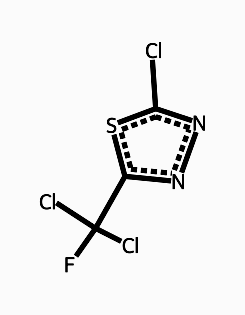 FC(Cl)(Cl)c1nnc(Cl)s1